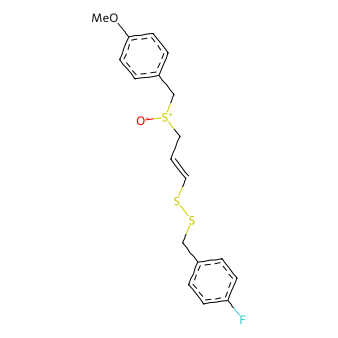 COc1ccc(C[S+]([O-])C/C=C/SSCc2ccc(F)cc2)cc1